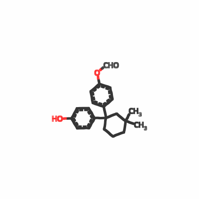 CC1(C)CCCC(c2ccc(O)cc2)(c2ccc(OC=O)cc2)C1